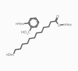 CCCCCCCCCCCCCCCCCCCCCC(=O)OCCCCCC.CCCCCCc1ccccc1C(=O)O